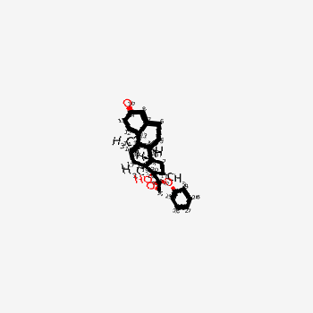 C[C@H]1C[C@H]2[C@@H]3CCC4=CC(=O)CC[C@]4(C)C3=CC[C@]2(C)[C@@]1(O)C1(Oc2ccccc2)CO1